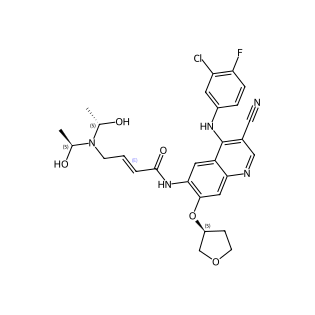 C[C@H](O)N(C/C=C/C(=O)Nc1cc2c(Nc3ccc(F)c(Cl)c3)c(C#N)cnc2cc1O[C@H]1CCOC1)[C@H](C)O